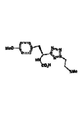 COc1ccc(C[C@H](NC(=O)O)c2nnn(CCSC)n2)cc1